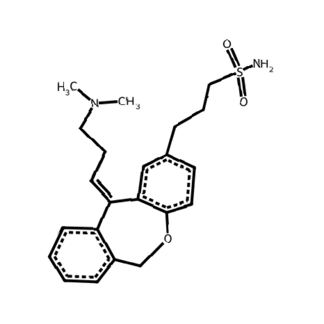 CN(C)CCC=C1c2ccccc2COc2ccc(CCCS(N)(=O)=O)cc21